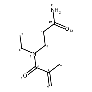 C=C(C)C(=O)N(CC)CCC(N)=O